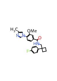 COc1cc(C(=O)NCC2(c3ccc(F)cc3)CCC2)ccc1-n1cnc(C)c1